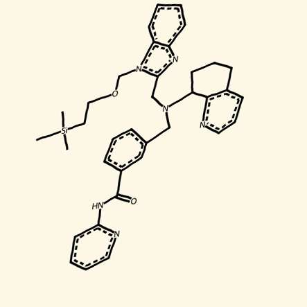 C[Si](C)(C)CCOCn1c(CN(Cc2cccc(C(=O)Nc3ccccn3)c2)C2CCCc3cccnc32)nc2ccccc21